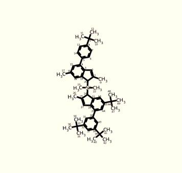 CC1=Cc2c(-c3ccc(C(C)(C)C)cc3)cc(C)cc2C1[Si](C)(C)C1C(C)=Cc2c(-c3cc(C(C)(C)C)cc(C(C)(C)C)c3)cc(C(C)(C)C)cc21